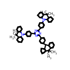 CC1(C)c2ccccc2C(c2ccc(-c3nc(-c4ccc(N5c6ccccc6C(C)(C)c6ccccc65)cc4)nc(-c4ccc(N5c6ccccc6C(C)(C)c6ccccc65)cc4)n3)cc2)c2ccccc21